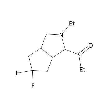 CCC(=O)C1C2CC(F)(F)CC2CN1CC